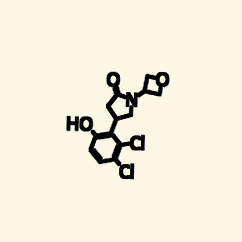 O=C1CC(c2c(O)ccc(Cl)c2Cl)CN1C1COC1